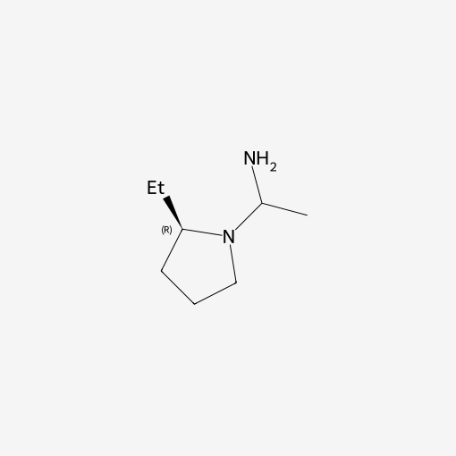 CC[C@@H]1CCCN1C(C)N